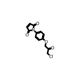 O=C(CCl)COc1ccc(N2C(=O)C=CC2=O)cc1